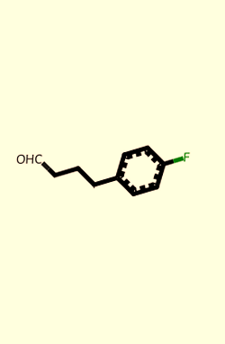 O=CCC[CH]c1ccc(F)cc1